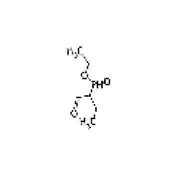 CCO[PH](=O)C(C=O)CC